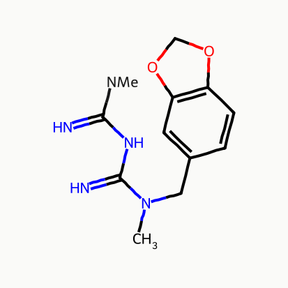 CNC(=N)NC(=N)N(C)Cc1ccc2c(c1)OCO2